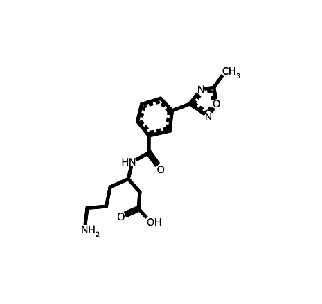 Cc1nc(-c2cccc(C(=O)NC(CCCN)CC(=O)O)c2)no1